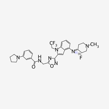 CN1CC/C(=N\c2cccc3c2cc(-c2noc(CNC(=O)c4cccc(N5CCCC5)c4)n2)n3CC(F)(F)F)[C@@H](F)C1